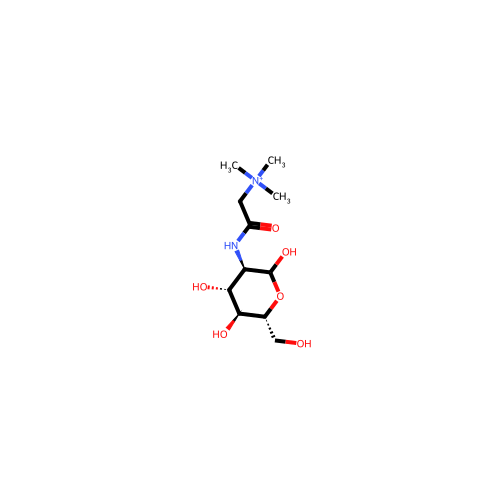 C[N+](C)(C)CC(=O)N[C@H]1C(O)O[C@H](CO)[C@@H](O)[C@@H]1O